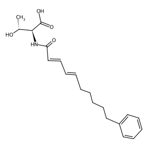 C[C@@H](O)[C@H](NC(=O)/C=C/C=C/CCCCCc1ccccc1)C(=O)O